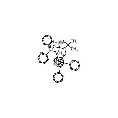 CC(C)(C)P(C[C]12[C]3(CP(c4ccccn4)c4ccccn4)[CH]4[C]5(c6ccccc6)[C]1(c1ccccc1)[Fe]43521678[CH]2[CH]1[CH]6[CH]7[CH]28)C(C)(C)C